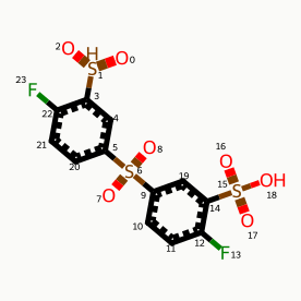 O=[SH](=O)c1cc(S(=O)(=O)c2ccc(F)c(S(=O)(=O)O)c2)ccc1F